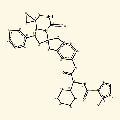 Cn1nccc1C(=O)N[C@H](C(=O)Nc1ccc2c(c1)CC(CNc1ccccc1)(N1CC3(CC3)CNC1=O)C2)C1CCCCC1